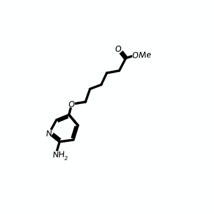 COC(=O)CCCCCOc1ccc(N)nc1